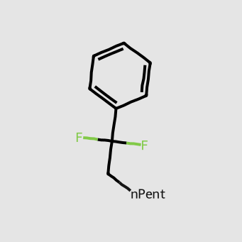 [CH2]CCCCCC(F)(F)c1ccccc1